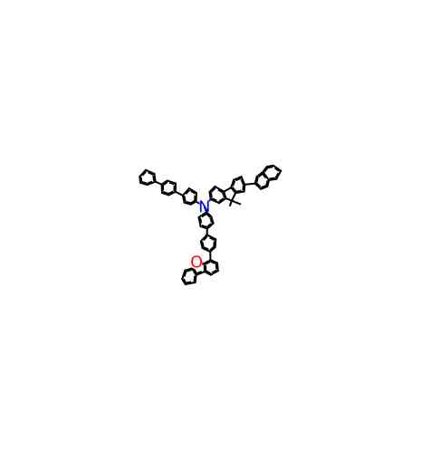 CC1(C)c2cc(-c3ccc4ccccc4c3)ccc2-c2ccc(N(c3ccc(-c4ccc(-c5ccccc5)cc4)cc3)c3ccc(-c4ccc(-c5cccc6c5oc5ccccc56)cc4)cc3)cc21